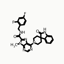 Cn1c(C(=O)NCc2ccc(F)cc2F)nc2c(N3CCC4(CC3)C(=O)Nc3ccccc34)ncnc21